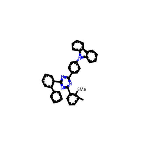 CSc1c(C)cccc1-c1nc(-c2ccc(-n3c4ccccc4c4ccccc43)cc2)nc(-c2ccccc2-c2ccccc2)n1